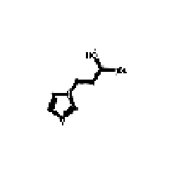 CCCCC(O)CCn1ccnc1